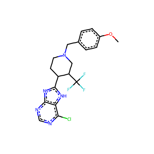 COc1ccc(CN2CCC(c3nc4ncnc(Cl)c4[nH]3)C(C(F)(F)F)C2)cc1